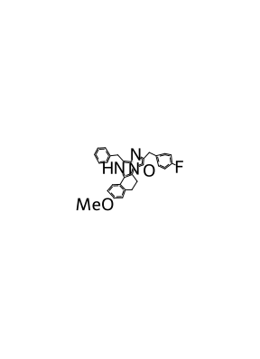 COc1ccc2c(c1)CCc1c-2[nH]c(Cc2ccccc2)c2nc(Cc3ccc(F)cc3)c(=O)n1-2